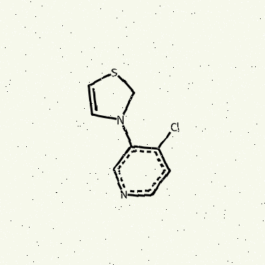 Clc1ccncc1N1C=CSC1